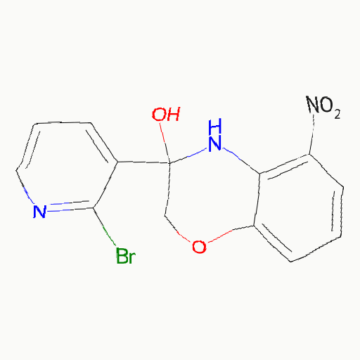 O=[N+]([O-])c1cccc2c1NC(O)(c1cccnc1Br)CO2